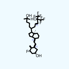 C=C1/C(=C\C=C2/CCC[C@@]3(C)C2CCC3C(C/C=C/C(O)(C(F)(F)F)C(F)(F)F)CCCC(C)(C)O)C[C@@H](O)C[C@@H]1F